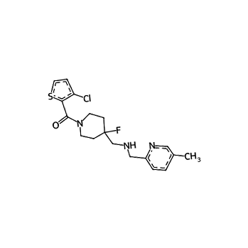 Cc1ccc(CNCC2(F)CCN(C(=O)c3sccc3Cl)CC2)nc1